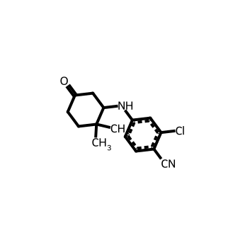 CC1(C)CCC(=O)CC1Nc1ccc(C#N)c(Cl)c1